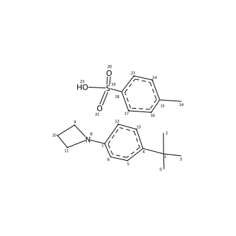 CC(C)(C)c1ccc(N2CCC2)cc1.Cc1ccc(S(=O)(=O)O)cc1